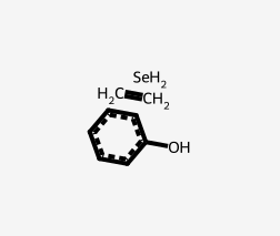 C=C.Oc1ccccc1.[SeH2]